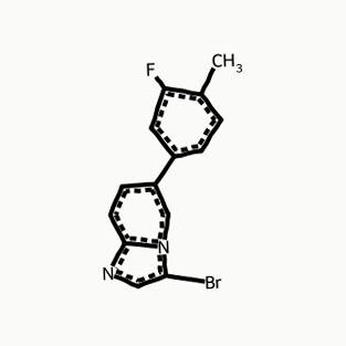 Cc1ccc(-c2ccc3ncc(Br)n3c2)cc1F